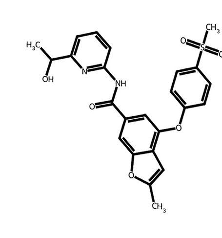 Cc1cc2c(Oc3ccc(S(C)(=O)=O)cc3)cc(C(=O)Nc3cccc(C(C)O)n3)cc2o1